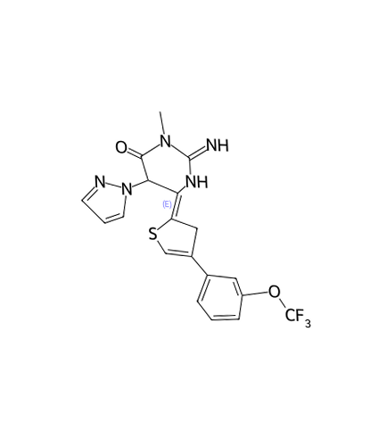 CN1C(=N)N/C(=C2\CC(c3cccc(OC(F)(F)F)c3)=CS2)C(n2cccn2)C1=O